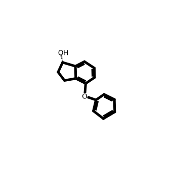 O[C@H]1CCc2c(Oc3ccccc3)cccc21